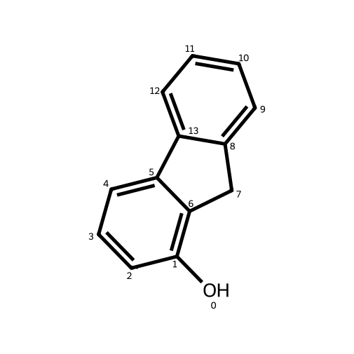 Oc1[c]ccc2c1Cc1ccccc1-2